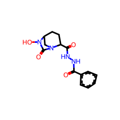 O=C(NNC(=O)C1CCC2CN1C(=O)N2O)c1ccccc1